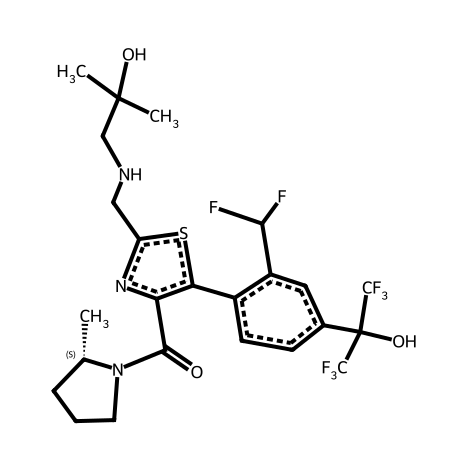 C[C@H]1CCCN1C(=O)c1nc(CNCC(C)(C)O)sc1-c1ccc(C(O)(C(F)(F)F)C(F)(F)F)cc1C(F)F